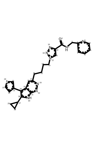 O=C(NCc1ccccn1)c1cn(CCCCc2cc3c(-c4ccsc4)c(C4CC4)[nH]c3nn2)nn1